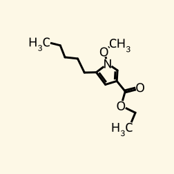 CCCCCc1cc(C(=O)OCC)cn1OC